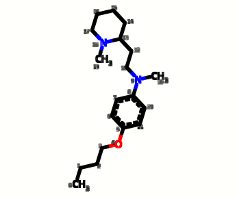 CCCCOc1ccc(N(C)CCC2CCCCN2C)cc1